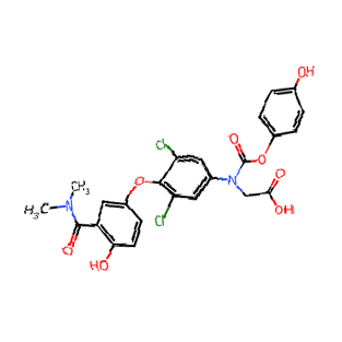 CN(C)C(=O)c1cc(Oc2c(Cl)cc(N(CC(=O)O)C(=O)Oc3ccc(O)cc3)cc2Cl)ccc1O